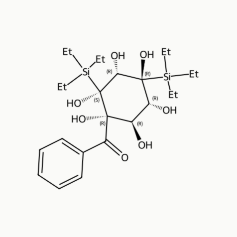 CC[Si](CC)(CC)[C@]1(O)[C@H](O)[C@@H](O)[C@@](O)(C(=O)c2ccccc2)[C@@](O)([Si](CC)(CC)CC)[C@@H]1O